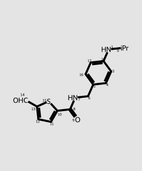 CC(C)Nc1ccc(CNC(=O)c2ccc(C=O)s2)cc1